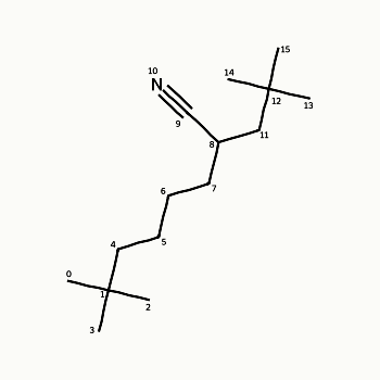 CC(C)(C)CCCCC(C#N)CC(C)(C)C